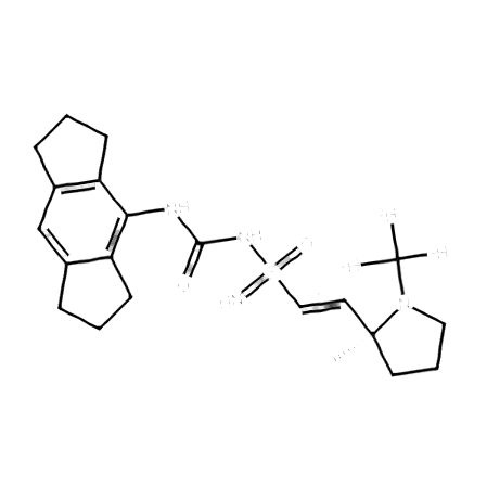 [2H]C([2H])([2H])N1CCC[C@@]1(C)/C=C/S(=N)(=O)NC(=O)Nc1c2c(cc3c1CCC3)CCC2